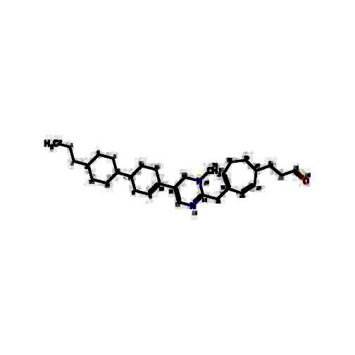 CCCC1CCC(C2CC=C(C3=CN=C(CC4=CCCC(CCC=O)C=C4)N(C)C3)CC2)CC1